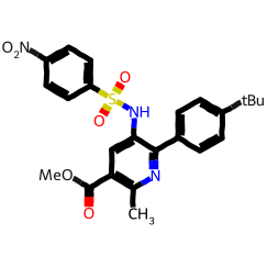 COC(=O)c1cc(NS(=O)(=O)c2ccc([N+](=O)[O-])cc2)c(-c2ccc(C(C)(C)C)cc2)nc1C